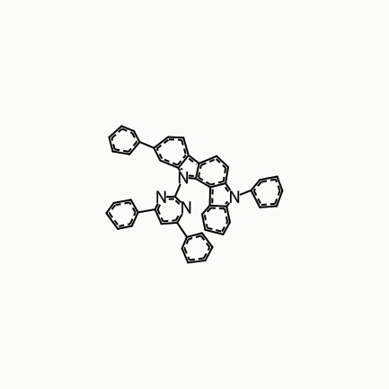 c1ccc(-c2ccc3c4ccc5c(c6ccccc6n5-c5ccccc5)c4n(-c4nc(-c5ccccc5)cc(-c5ccccc5)n4)c3c2)cc1